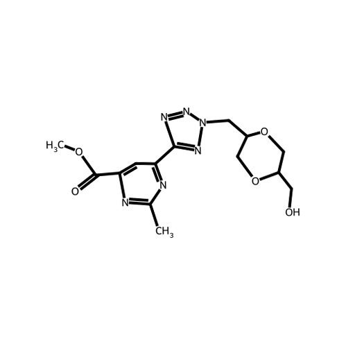 COC(=O)c1cc(-c2nnn(CC3COC(CO)CO3)n2)nc(C)n1